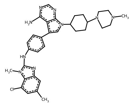 Cc1cc(Cl)c2c(c1)nc(Nc1ccc(-c3cn(C4CCC(N5CCN(C)CC5)CC4)c4ncnc(N)c34)cc1)n2C